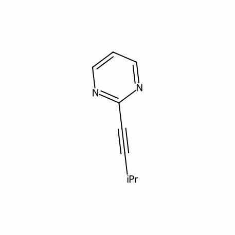 CC(C)C#Cc1ncccn1